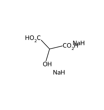 O=C(O)C(O)C(=O)O.[NaH].[NaH]